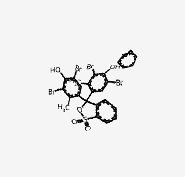 Cc1c(C2(c3cc(Br)c(O)c(Br)c3C)OS(=O)(=O)c3ccccc32)cc(Br)c(O)c1Br.c1ccccc1